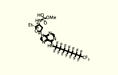 CC[C@H]1O[C@@H](n2cnc3c(NC(F)(F)C(F)(F)C(F)(F)C(F)(F)C(F)(F)C(F)(F)C(F)(F)C(F)(F)F)ncnc32)C[C@H]1NP(=O)(O)OC